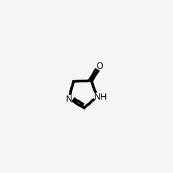 O=C1CN=[C]N1